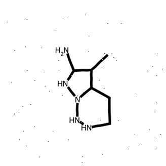 CC1C(N)NN2NNCCC12